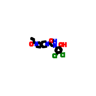 C=CC(=O)N1CCC2(CCN(C(=O)CNc3cc(Cl)c(Cl)cc3O)CC2)C1